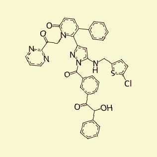 O=C(Cn1c(-c2cc(NCc3ccc(Cl)s3)n(C(=O)c3cccc(C(=O)C(O)c4ccccc4)c3)n2)c(-c2ccccc2)ccc1=O)c1ncccn1